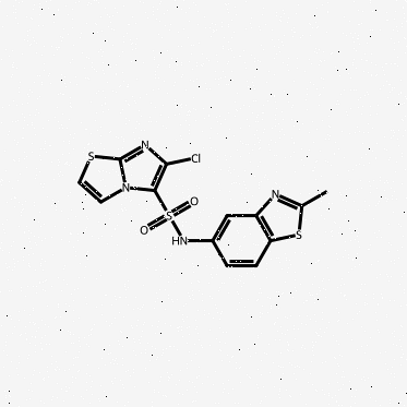 Cc1nc2cc(NS(=O)(=O)c3c(Cl)nc4sccn34)ccc2s1